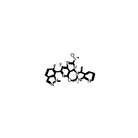 CC(c1cccnc1N)N1CCOc2nc(-c3c(F)ccc4cnn(C)c34)c(F)c3nc([S+](C)[O-])nc1c23